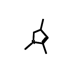 CC1=CC(C)CN1C